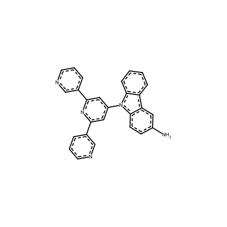 Nc1ccc2c(c1)c1ccccc1n2-c1cc(-c2cccnc2)nc(-c2cccnc2)c1